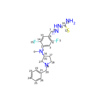 CN(c1cc(F)c(/C=N/NC(N)=S)cc1F)[C@H]1CCN(Cc2ccccc2)C1